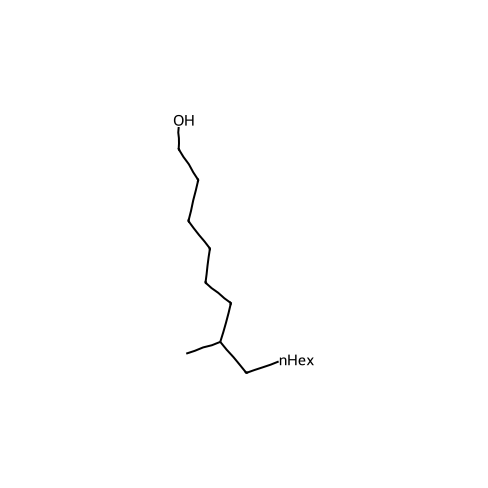 CCCCCCCC(C)CCCCCCO